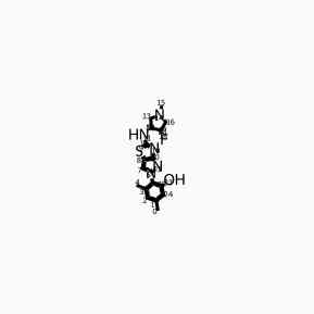 Cc1cc(C)c(-n2cc3sc(N[C@@H]4CN(C)C[C@H]4F)nc3n2)c(O)c1